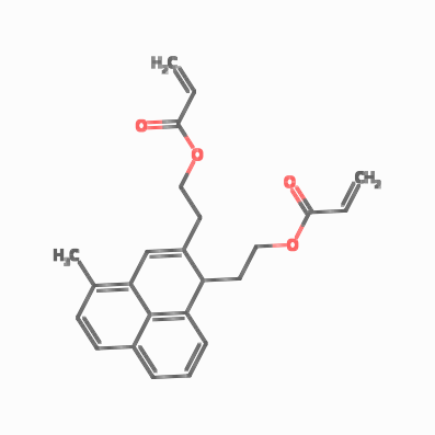 C=CC(=O)OCCC1=Cc2c(C)ccc3cccc(c23)C1CCOC(=O)C=C